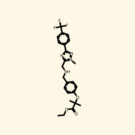 CCOC(=O)C(C)(C)Oc1ccc(CNCc2nc(-c3ccc(C(F)(F)F)cc3)nn2C)cc1